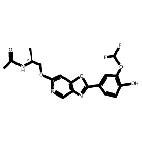 CC(=O)N[C@@H](C)COc1cc2oc(-c3ccc(O)c(OC(F)F)c3)nc2cn1